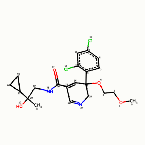 COCCOC1(c2ccc(Cl)cc2Cl)C=C(C(=O)NCC(C)(O)C2CC2)C=NC1